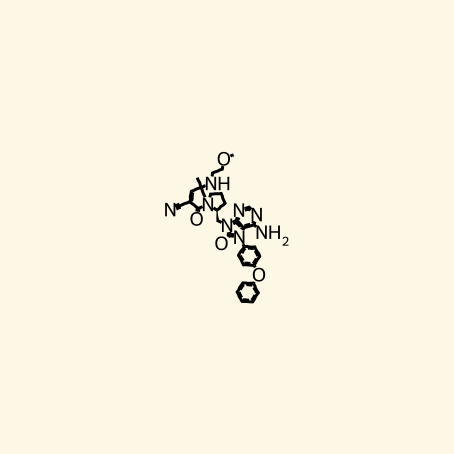 COCCNC(C)(C)/C=C(/C#N)C(=O)N1CCC[C@H]1Cn1c(=O)n(-c2ccc(Oc3ccccc3)cc2)c2c(N)ncnc21